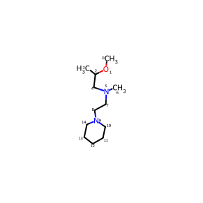 COC(C)CN(C)CCN1CCCCC1